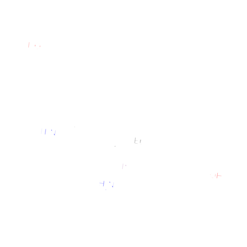 CCC1(P(N)c2ccc(O)cc2)CCC(N)(c2ccc(O)cc2)CC1